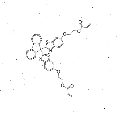 C=CC(=O)OCCOc1ccc2nc(C3(c4nc5ccc(OCCOC(=O)C=C)cc5s4)c4ccccc4-c4ccccc43)sc2c1